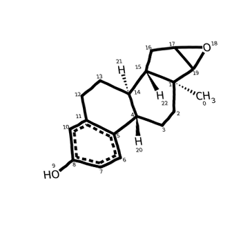 C[C@]12CC[C@@H]3c4ccc(O)cc4CC[C@H]3[C@@H]1CC1OC12